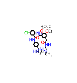 CCOc1cc(CC(=O)NCCN(C)C)cc(CNc2ccc(Cl)cc2C(=O)Nc2ccc(C(=N)N)cc2)c1OCC(=O)O